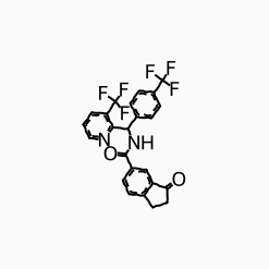 O=C(NC(c1ccc(C(F)(F)F)cc1)c1ncccc1C(F)(F)F)c1ccc2c(c1)C(=O)CC2